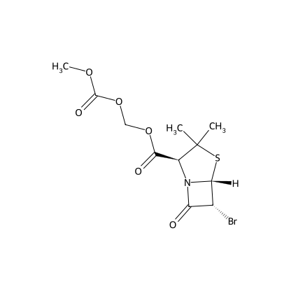 COC(=O)OCOC(=O)[C@@H]1N2C(=O)[C@@H](Br)[C@H]2SC1(C)C